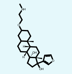 CNCCOC1CC[C@@]2(C)C(CC[C@@H]3[C@H]2CC[C@]2(C)C(O)(c4ccoc4)CC[C@@]32O)C1